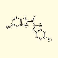 O=C(c1cc2ccc(C(F)(F)F)cc2[nH]1)c1cc2ccc(C(F)(F)F)cc2[nH]1